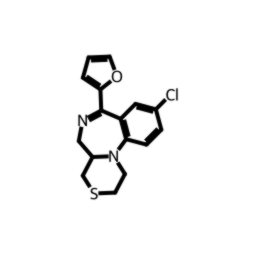 Clc1ccc2c(c1)C(c1ccco1)=NCC1CSCCN21